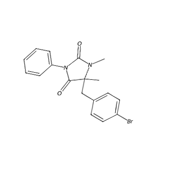 CN1C(=O)N(c2ccccc2)C(=O)C1(C)Cc1ccc(Br)cc1